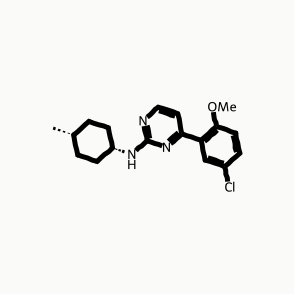 COc1ccc(Cl)cc1-c1ccnc(N[C@H]2CC[C@@H](C)CC2)n1